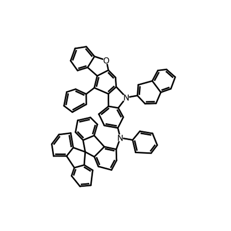 c1ccc(-c2c3c(cc4c2c2ccc(N(c5ccccc5)c5cccc6c5-c5ccccc5C65c6ccccc6-c6ccccc65)cc2n4-c2ccc4ccccc4c2)oc2ccccc23)cc1